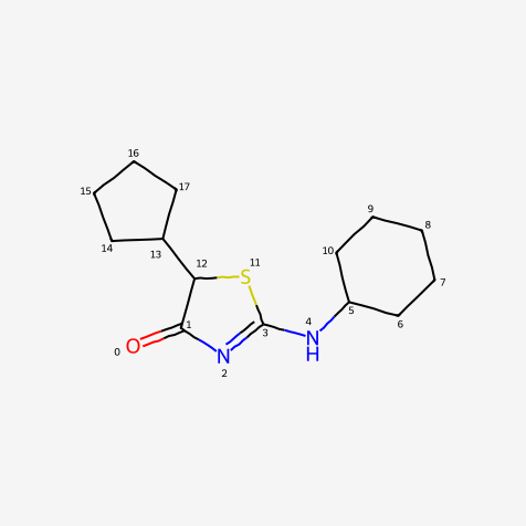 O=C1N=C(NC2CCCCC2)SC1C1CCCC1